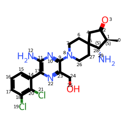 C[C@@H]1C(=O)CC2(CCN(c3nc(N)c(-c4cccc(Cl)c4Cl)nc3CO)CC2)[C@H]1N